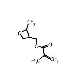 C=C(C)C(=O)OCC1COC1C(F)(F)F